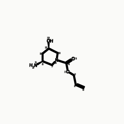 C=CCOC(=O)N1C[C@@H](N)C[C@@H](O)C1